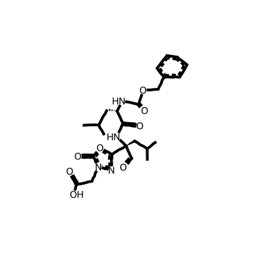 CC(C)C[C@H](NC(=O)OCc1ccccc1)C(=O)N[C@@](C=O)(CC(C)C)c1nn(CC(=O)O)c(=O)o1